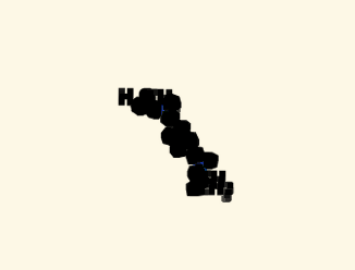 CC1(C)c2ccccc2-c2ccc(-n3c4ccccc4c4cc(-c5ccc6c(c5)C5(c7ccccc7-c7ccccc75)c5cc(-c7ccc8c(c7)c7ccccc7n8-c7ccc8c(c7)C(C)(C)c7ccccc7-8)ccc5-6)ccc43)cc21